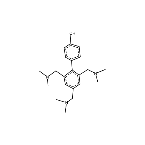 CN(C)Cc1cc(CN(C)C)c(-c2ccc(O)cc2)c(CN(C)C)c1